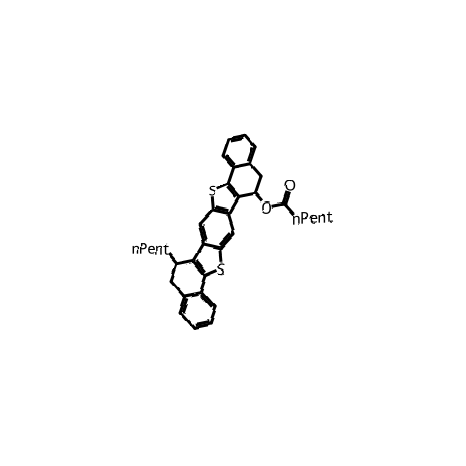 CCCCCC(=O)OC1Cc2ccccc2-c2sc3cc4c5c(sc4cc3c21)-c1ccccc1CC5CCCCC